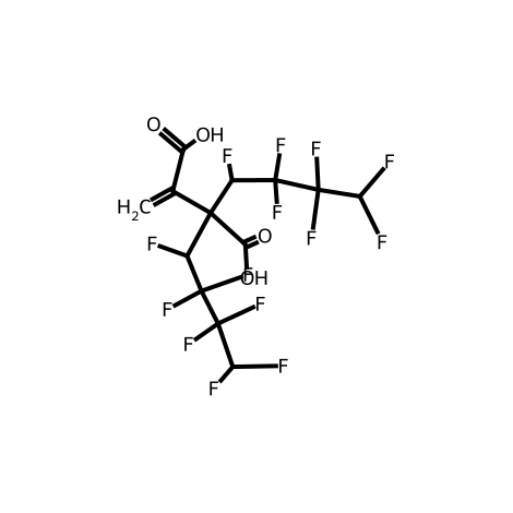 C=C(C(=O)O)C(C(=O)O)(C(F)C(F)(F)C(F)(F)C(F)F)C(F)C(F)(F)C(F)(F)C(F)F